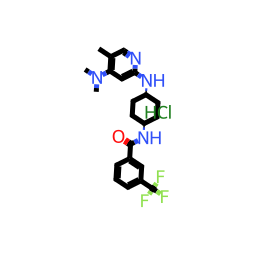 Cc1cnc(N[C@H]2CC[C@@H](NC(=O)c3cccc(C(F)(F)F)c3)CC2)cc1N(C)C.Cl